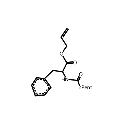 C=CCOC(=O)C(Cc1ccccc1)NC(=O)CCCCC